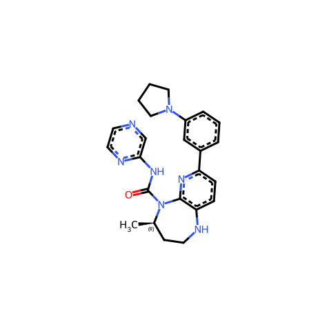 C[C@@H]1CCNc2ccc(-c3cccc(N4CCCC4)c3)nc2N1C(=O)Nc1cnccn1